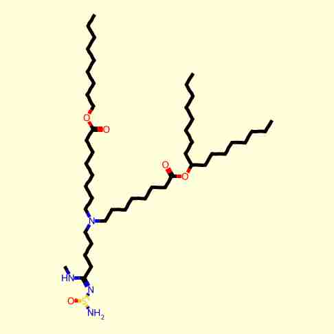 CCCCCCCCCOC(=O)CCCCCCCN(CCCCCCCC(=O)OC(CCCCCCCC)CCCCCCCC)CCCC/C(=N/[S+](N)[O-])NC